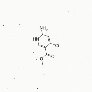 COC(=O)C1=CNC(N)C=C1Cl